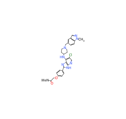 CNC(=O)COc1ccc(-c2nc3c(NC4CCN(Cc5ccc6c(cnn6C)c5)CC4)c(Cl)cnc3[nH]2)cc1